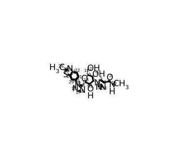 CNC(=O)c1cn([C@H]2[C@@H](O)[C@@H](CO)O[C@@H](c3ncnn3-c3ccc4nc(C)sc4c3)[C@@H]2O)nn1